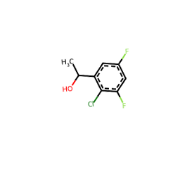 CC(O)c1cc(F)cc(F)c1Cl